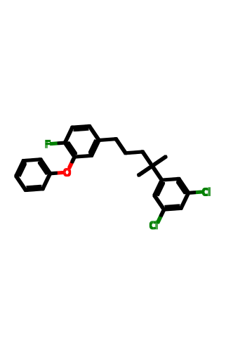 CC(C)(CCCc1ccc(F)c(Oc2ccccc2)c1)c1cc(Cl)cc(Cl)c1